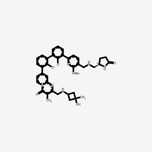 COc1nc(-c2cccc(-c3cccc(-c4ccn5c(=O)c(C)c(CNC6CC(C)(O)C6)nc5c4)c3Cl)c2Cl)ccc1CNC[C@H]1CCC(=O)N1